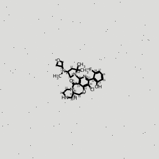 CN(C1COC1)C1CN(c2nc(-c3c(O)cccc3F)c(Cl)c3c2C(=O)N2CCNC[C@@H]2CO3)C(C)(C)C1